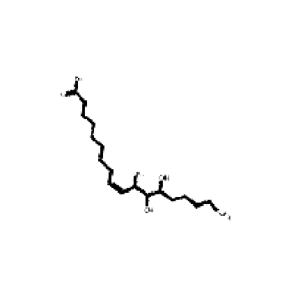 CCCCCC(O)C(O)C(O)/C=C\CCCCCCCC(=O)O